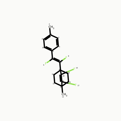 Cc1ccc(/C(F)=C(\F)C23CCC(C)(CC2)C(F)=C3F)cc1